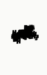 CC(C)(C)NC(COC(=O)OCC(NC(C)(C)C)NS(=O)(=O)c1ccccc1Br)NS(=O)(=O)c1ccccc1Br